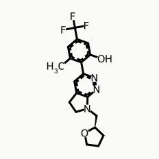 Cc1cc(C(F)(F)F)cc(O)c1-c1cc2c(nn1)N(C[C@H]1CCCO1)CC2